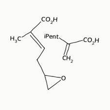 C/C(=C\CC1CO1)C(=O)O.C=C(C(=O)O)C(C)CCC